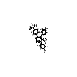 CS(=O)(=O)c1ccc(-c2cnn(-c3ccc(Cl)cc3)c(=O)c2-c2ccc(F)cc2)cc1